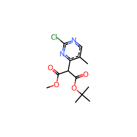 COC(=O)C(C(=O)OC(C)(C)C)c1nc(Cl)ncc1C